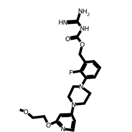 COCCOc1cc(N2CCN(c3cccc(COC(=O)NC(=N)N)c3F)CC2)ccn1